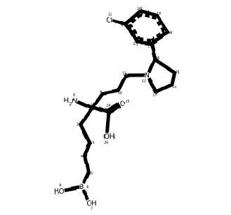 NC(CCCCB(O)O)(CCCN1CCCC1c1cccc(Cl)c1)C(=O)O